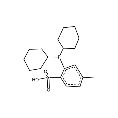 Cc1ccc(S(=O)(=O)O)c(P(C2CCCCC2)C2CCCCC2)c1